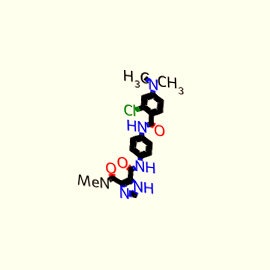 CNC(=O)c1nc[nH]c1C(=O)Nc1ccc(NC(=O)c2ccc(N(C)C)cc2Cl)cc1